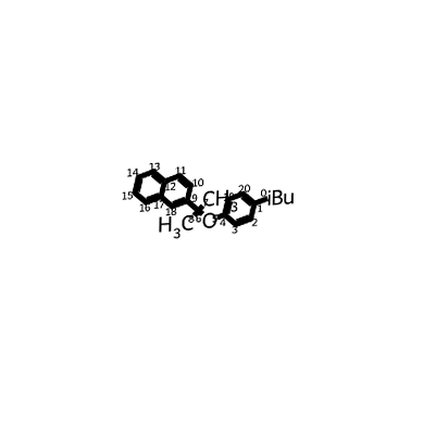 CCC(C)c1ccc(OC(C)(C)c2ccc3ccccc3c2)cc1